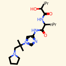 CCCC(NC(=O)C(O)C(C)C)C(=O)Nc1cn(C(C)(C)CN2CCCC2)cn1